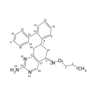 CCCO/N=C1\CC(c2ccccc2-c2ccccc2)Cc2nc(N)ncc21